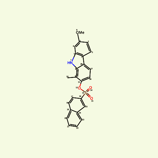 COc1ccc2c(c1)[nH]c1c(C)c(OS(=O)(=O)c3ccc4ccccc4c3)ccc12